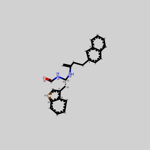 C=C(CCc1ccc2ccccc2c1)N[C@H](Cc1csc2ccccc12)NC=O